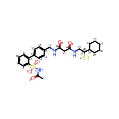 CC(=O)NS(=O)(=O)c1ccccc1-c1ccc(CNC(=O)CC(=O)NC[C@H](S)C2CCCCC2)cc1